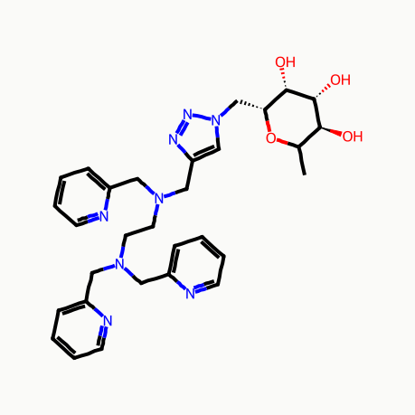 CC1O[C@H](Cn2cc(CN(CCN(Cc3ccccn3)Cc3ccccn3)Cc3ccccn3)nn2)[C@H](O)[C@H](O)[C@H]1O